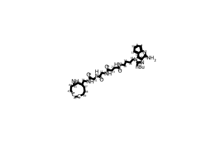 CCCCc1nc2c(N)nc3ccccc3c2n1CCCCNC(=O)CCC(=O)NCC(=O)NCC(=O)NCC1CCCCCCCCC(N)C1